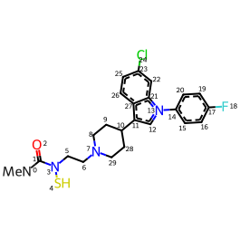 CNC(=O)N(S)CCN1CCC(c2cn(-c3ccc(F)cc3)c3cc(Cl)ccc23)CC1